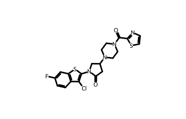 O=C(c1nccs1)N1CCN(C2CC(=O)N(c3sc4cc(F)ccc4c3Cl)C2)CC1